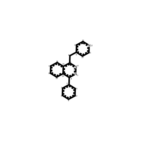 c1ccc(-c2nnc(Cc3ccncc3)c3ccccc23)cc1